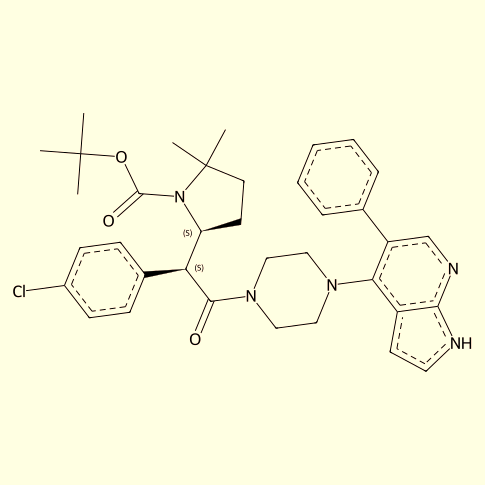 CC(C)(C)OC(=O)N1[C@H]([C@@H](C(=O)N2CCN(c3c(-c4ccccc4)cnc4[nH]ccc34)CC2)c2ccc(Cl)cc2)CCC1(C)C